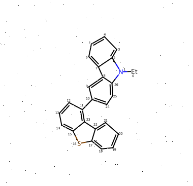 CCn1c2ccccc2c2cc(-c3cccc4sc5ccccc5c34)ccc21